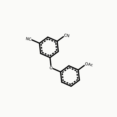 CC(=O)Oc1cccc(Oc2cc(C#N)cc(C#N)c2)c1